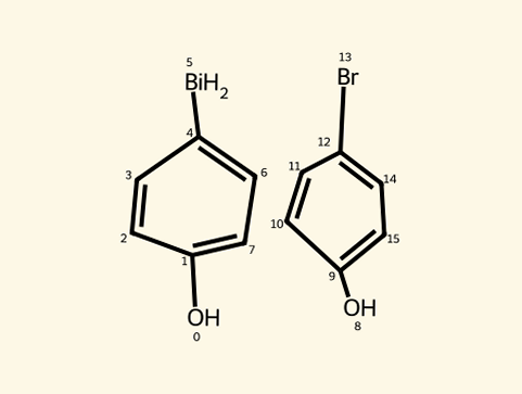 Oc1cc[c]([BiH2])cc1.Oc1ccc(Br)cc1